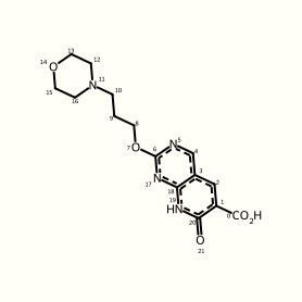 O=C(O)c1cc2cnc(OCCCN3CCOCC3)nc2[nH]c1=O